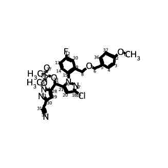 COc1ccc(COCc2cc(F)ccc2-n2nc(Cl)cc2C(OS(C)(=O)=O)c2cc(C#N)nn2C)cc1